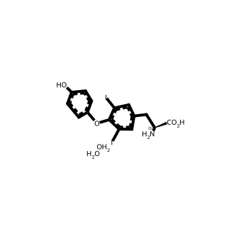 N[C@@H](Cc1cc(I)c(Oc2ccc(O)cc2)c(I)c1)C(=O)O.O.O